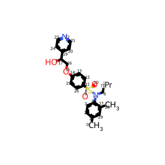 Cc1ccc(N(CC(C)C)S(=O)(=O)c2ccc(OCC(O)c3ccncc3)cc2)c(C)c1